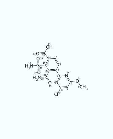 COc1cc(Cl)nc(-c2ccc(C(=O)O)c(S(N)(=O)=O)c2C(N)=O)n1